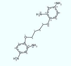 Nc1ccc(OCCCCOc2ccc(N)cc2N)c(N)c1